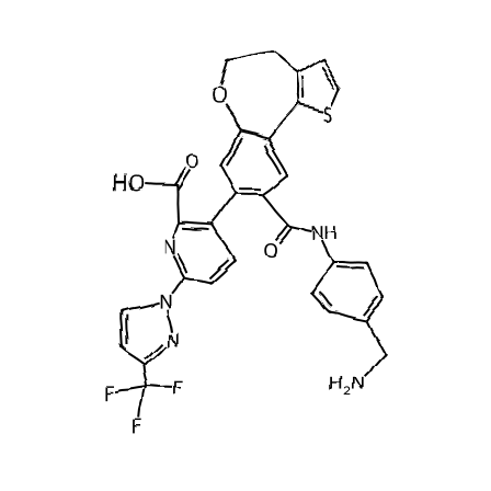 NCc1ccc(NC(=O)c2cc3c(cc2-c2ccc(-n4ccc(C(F)(F)F)n4)nc2C(=O)O)OCCc2ccsc2-3)cc1